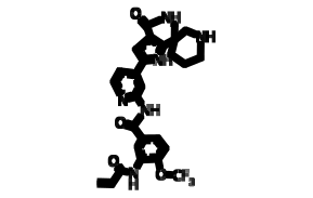 C=CC(=O)Nc1cc(C(=O)Nc2cc(-c3cc4c([nH]3)C3(CCCNC3)CNC4=O)ccn2)ccc1OC(F)(F)F